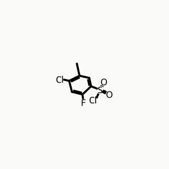 Cc1cc(S(=O)(=O)Cl)c(F)cc1Cl